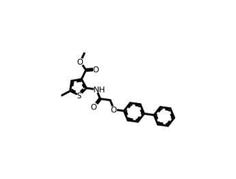 COC(=O)c1cc(C)sc1NC(=O)COc1ccc(-c2ccccc2)cc1